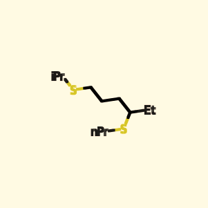 [CH2]CC(CCCSC(C)C)SCCC